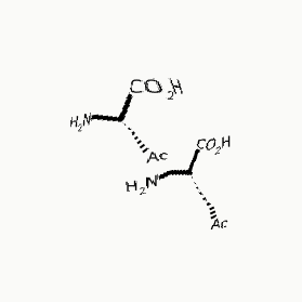 CC(=O)[C@H](N)C(=O)O.CC(=O)[C@H](N)C(=O)O